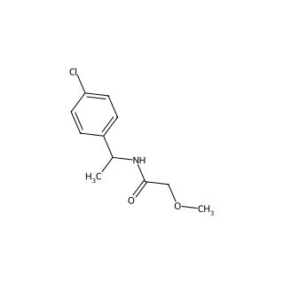 COCC(=O)NC(C)c1ccc(Cl)cc1